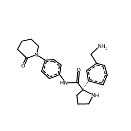 NCc1cccc([C@@]2(C(=O)Nc3ccc(N4CCCCC4=O)cc3)CCCN2)c1